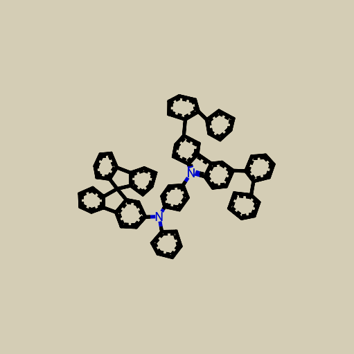 c1ccc(-c2ccccc2-c2ccc3c(c2)c2cc(-c4ccccc4-c4ccccc4)ccc2n3-c2ccc(N(c3ccccc3)c3ccc4c(c3)C3(c5ccccc5-c5ccccc53)c3ccccc3-4)cc2)cc1